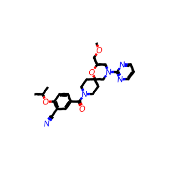 COCC1CN(c2ncccn2)CC2(CCN(C(=O)c3ccc(OC(C)C)c(C#N)c3)CC2)O1